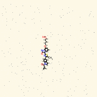 Cc1sc(C(C(N)=O)c2cccc(OCCCCCO)c2)nc1-c1ccc2c(ccn2C(=O)C2CC2)c1